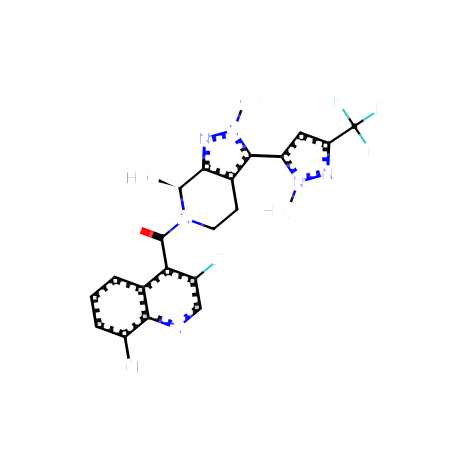 Cc1cccc2c(C(=O)N3CCc4c(nn(C)c4-c4cc(C(F)(F)F)nn4C)[C@@H]3C)c(F)cnc12